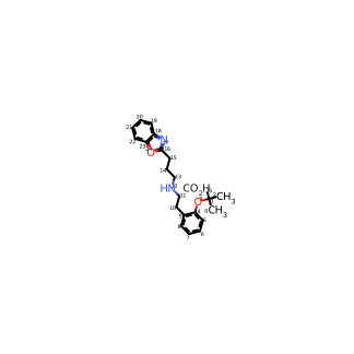 CC(C)(Oc1ccccc1CCNCCCc1nc2ccccc2o1)C(=O)O